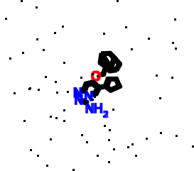 Nc1nnc2cc(OCC34CC5CC(CC(C5)C3)C4)c(C3=CCCC3)cn12